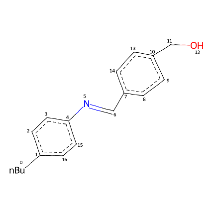 CCCCc1ccc(N=Cc2ccc(CO)cc2)cc1